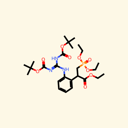 CCOC(=O)C(CP(=O)(OCC)OCC)c1ccccc1NC(=NC(=O)OC(C)(C)C)NC(=O)OC(C)(C)C